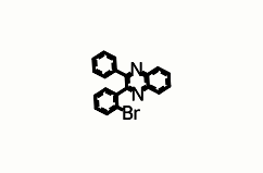 Brc1ccccc1-c1nc2ccccc2nc1-c1ccccc1